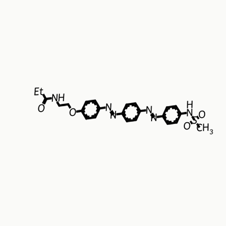 CCC(=O)NCCOc1ccc(N=Nc2ccc(N=Nc3ccc(NS(C)(=O)=O)cc3)cc2)cc1